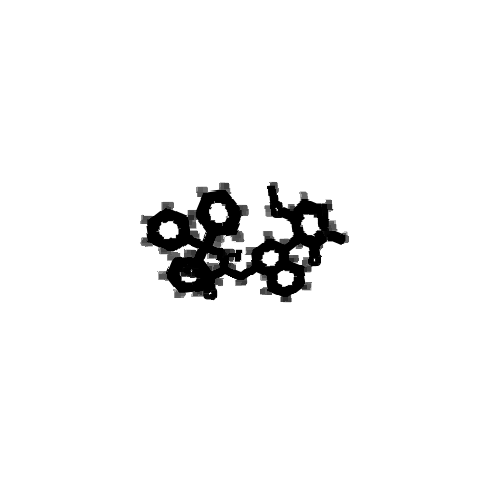 COc1cnn(C)c(=O)c1-c1ccc(CC(NC(c2ccccc2)(c2ccccc2)c2ccccc2)C(=O)O)c2ccccc12